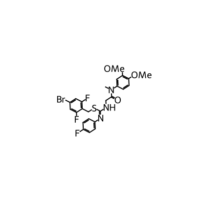 COc1ccc(N(C)C(=O)CNC(=Nc2ccc(F)cc2)SCc2c(F)cc(Br)cc2F)cc1OC